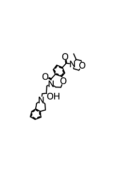 CC1COCCN1C(=O)c1ccc2c(c1)OCCN(CC(O)CN1CCc3ccccc3C1)C2=O